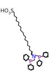 O=S(=O)(O)CCCCCCCCCCCCCCCCC=CN(CP(c1ccccc1)c1ccccc1)CP(c1ccccc1)c1ccccc1